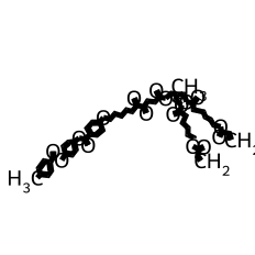 C=CC(=O)OCCCCCC(=O)OCC(C)(COC(=O)CCCCCOC(=O)C=C)COC(=O)CCC(=O)C(=O)CCCCCOc1ccc(C(=O)Oc2ccc(OC(=O)c3ccc(C)cc3)cc2)cc1